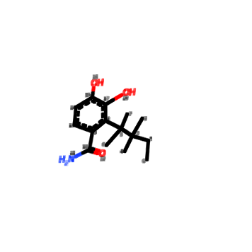 CCC(C)(C)C(C)(C)c1c(C(N)=O)ccc(O)c1O